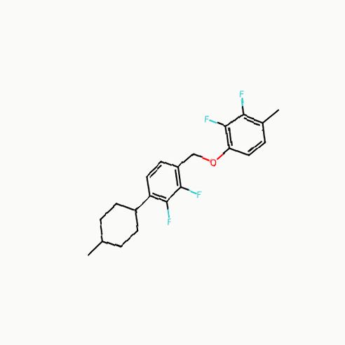 Cc1ccc(OCc2ccc(C3CCC(C)CC3)c(F)c2F)c(F)c1F